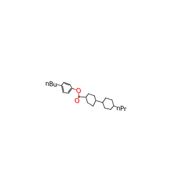 CCCCc1ccc(OC(=O)C2CCC(C3CCC(CCC)CC3)CC2)cc1